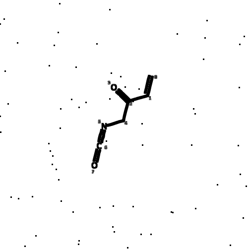 C=CC(=O)CN=C=O